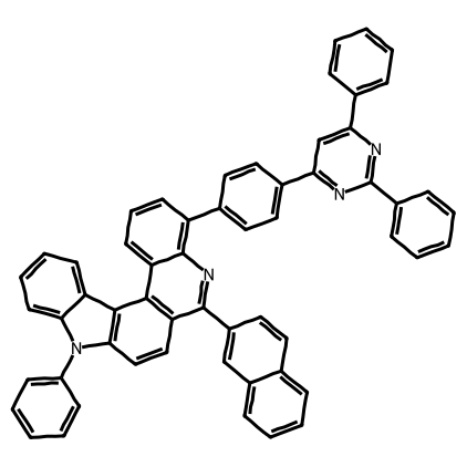 c1ccc(-c2cc(-c3ccc(-c4cccc5c4nc(-c4ccc6ccccc6c4)c4ccc6c(c7ccccc7n6-c6ccccc6)c45)cc3)nc(-c3ccccc3)n2)cc1